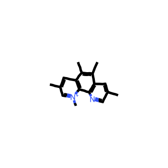 Cc1cnc2c(c1)c(C)c(C)c1cc(C)c[n+](C)c12